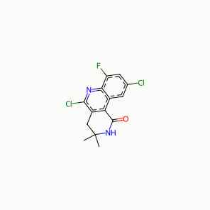 CC1(C)Cc2c(Cl)nc3c(F)cc(Cl)cc3c2C(=O)N1